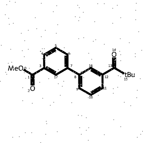 COC(=O)c1cccc(-c2cccc(C(=O)C(C)(C)C)c2)c1